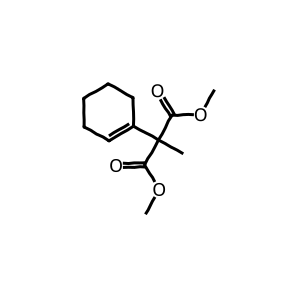 COC(=O)C(C)(C(=O)OC)C1=CCCCC1